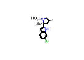 C[C@@H]1CN(C(=O)O)[C@@](c2cc3ccc(Br)cc3[nH]2)(C(C)(C)C)C1